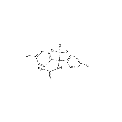 CC(=O)NC(c1ccc(Cl)cc1)(c1ccc(Cl)cc1)C(Cl)(Cl)Cl